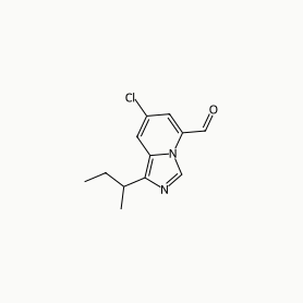 CCC(C)c1ncn2c(C=O)cc(Cl)cc12